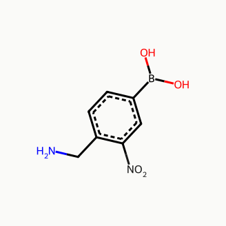 NCc1ccc(B(O)O)cc1[N+](=O)[O-]